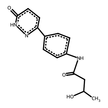 CC(O)CC(=O)Nc1ccc(-c2ccc(=O)[nH]n2)cc1